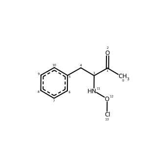 CC(=O)C(Cc1ccccc1)NOCl